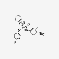 [C-]#[N+]c1ccc(NC(=O)[C@@](N)(CSc2ccc(F)cc2)Cc2ccccc2)cc1C